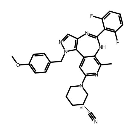 COc1ccc(Cn2ncc3c2-c2cc(N4CCC[C@@H](C#N)C4)nc(C)c2NC(c2c(F)cccc2F)=N3)cc1